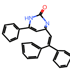 O=c1nc(C=C(c2ccccc2)c2ccccc2)cc(-c2ccccc2)[nH]1